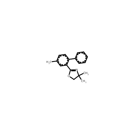 Cc1ccc(-c2ccccc2)c(C2=NC(C)(C)CO2)c1